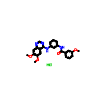 COc1cccc(C(=O)Nc2cccc(Nc3ncnc4cc(OC)c(OC)cc34)c2)c1.Cl